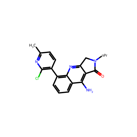 CCCN1Cc2nc3c(-c4ccc(C)nc4Cl)cccc3c(N)c2C1=O